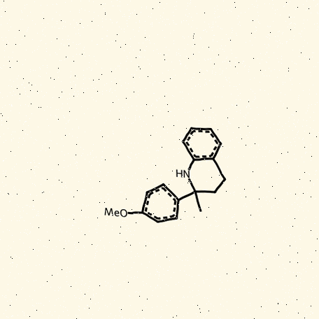 COc1ccc(C2(C)CCc3ccccc3N2)cc1